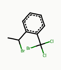 CC(Br)c1ccccc1C(Cl)(Cl)Br